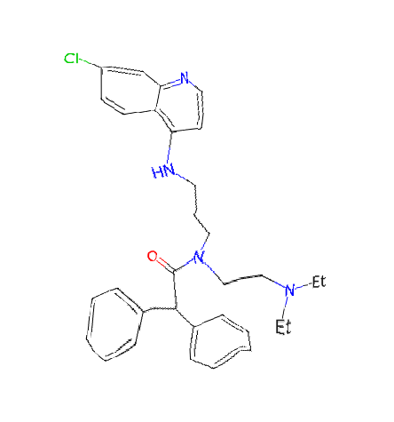 CCN(CC)CCN(CCCNc1ccnc2cc(Cl)ccc12)C(=O)C(c1ccccc1)c1ccccc1